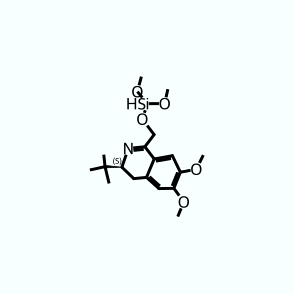 COc1cc2c(cc1OC)C(CO[SiH](OC)OC)=N[C@H](C(C)(C)C)C2